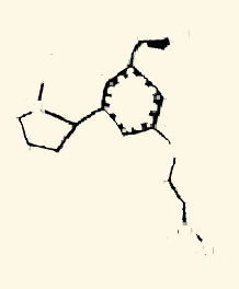 C=Cc1cc(OCCOC)cc(C2CCCN2C)c1